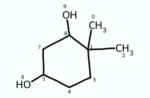 CC1(C)CCC(O)CC1O